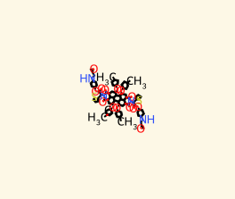 Cc1ccc(Oc2cc3c4c(cc(Oc5ccc(C)cc5)c5c6c(Oc7ccc(C)cc7)cc7c8c(cc(Oc9ccc(C)cc9)c(c2c45)c86)C(=O)N(C(C(=O)Oc2ccc(NCC4CO4)cc2)c2cccs2)C7=O)C(=O)N(C(C(=O)Oc2ccc(NCC4CO4)cc2)c2cccs2)C3=O)cc1